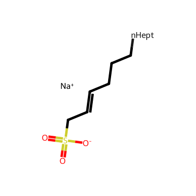 CCCCCCCCCCC=CCS(=O)(=O)[O-].[Na+]